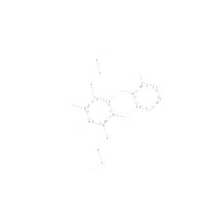 CCCCc1c(O)c(O)c(CCCC)c2c1Oc1cccc(Cl)c1O2